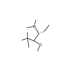 CC[C@H](C(OC)C(C)(C)C)N(C)C